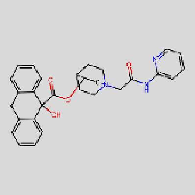 O=C(C[N+]12CCC(CC1)C(OC(=O)C1(O)c3ccccc3Cc3ccccc31)C2)Nc1ccccn1